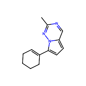 Cc1ncc2ccc(C3=CCCCC3)n2n1